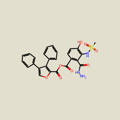 CS(=O)(=O)Nc1c(O)ccc(C(=O)OC(=O)c2occ(-c3ccccc3)c2-c2ccccc2)c1C(=O)NN